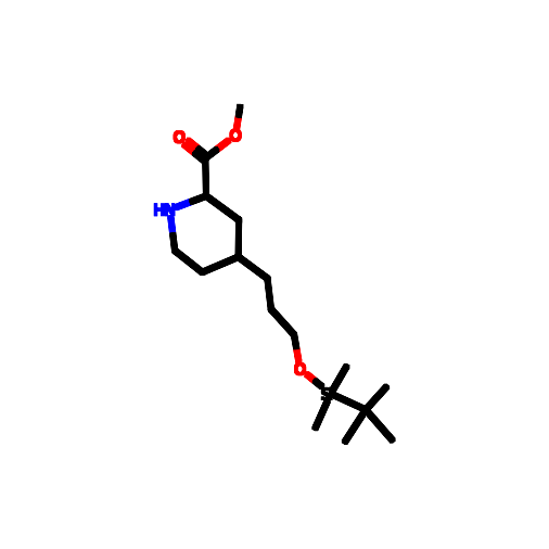 COC(=O)C1CC(CCCO[Si](C)(C)C(C)(C)C)CCN1